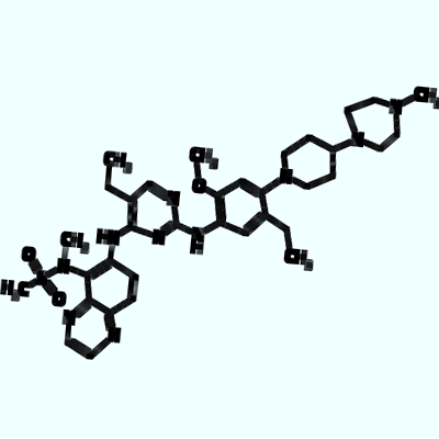 CCc1cc(Nc2ncc(CC)c(Nc3ccc4nccnc4c3N(C)S(C)(=O)=O)n2)c(OC)cc1N1CCC(N2CCN(C)CC2)CC1